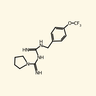 N=C(NCc1ccc(OC(F)(F)F)cc1)NC(=N)N1CCCC1